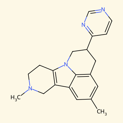 Cc1cc2c3c(c1)c1c(n3CC(c3ccncn3)C2)CCN(C)C1